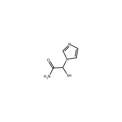 NC(=O)C(S)n1ccnc1